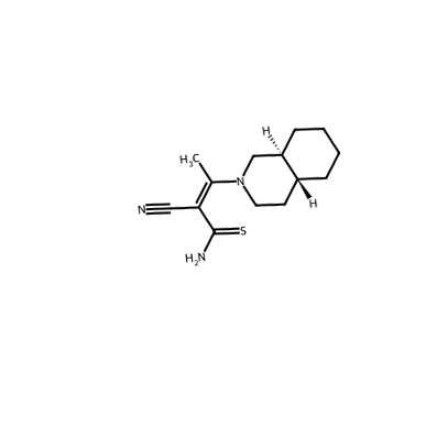 C/C(=C(\C#N)C(N)=S)N1CC[C@H]2CCCC[C@@H]2C1